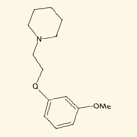 COc1cccc(OCCN2CCCCC2)c1